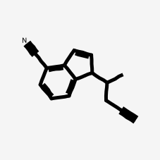 C#CCC(C)C1C=Cc2c(C#N)cccc21